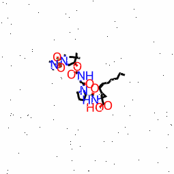 CCCCC/C=C\C1C[C@]1(NC(=O)[C@@H]1CCCN1C(=O)CNC(=O)OC(CN(C)S(=O)(=O)N(C)C)C(C)(C)C)C(=O)O